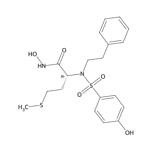 CSCC[C@H](C(=O)NO)N(CCc1ccccc1)S(=O)(=O)c1ccc(O)cc1